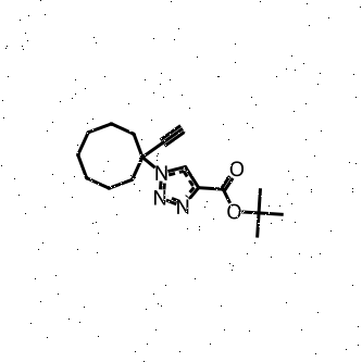 C#CC1(n2cc(C(=O)OC(C)(C)C)nn2)CCCCCCC1